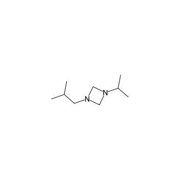 CC(C)CN1CN(C(C)C)C1